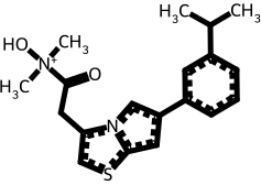 CC(C)c1cccc(-c2cc3scc(CC(=O)[N+](C)(C)O)n3c2)c1